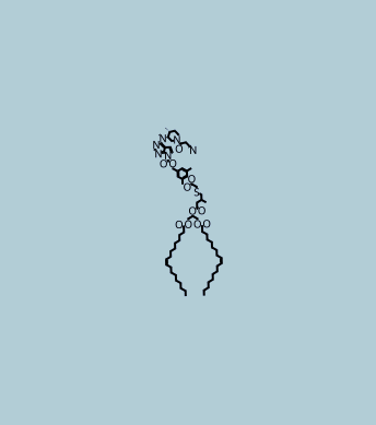 CCCCCCCC/C=C\CCCCCCCC(=O)OCC(COC(=O)CCCCCCC/C=C\CCCCCCCC)OC(=O)CC(C)CSCC(=O)Oc1c(C)cc(COC(=O)n2ccc3c(N(C)[C@H]4CN(C(=O)CC#N)CC[C@H]4C)ncnc32)cc1C